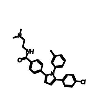 Cc1cccc(-n2c(-c3ccc(Cl)cc3)ccc2-c2ccc(C(=O)NCCN(C)C)cc2)c1